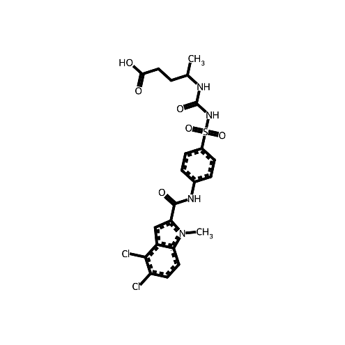 CC(CCC(=O)O)NC(=O)NS(=O)(=O)c1ccc(NC(=O)c2cc3c(Cl)c(Cl)ccc3n2C)cc1